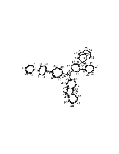 c1ccc(-c2ccc(-c3ccc(N(c4ccc5c(c4)-c4ccccc4C54C5CC6CC(C5)CC4C6)c4ccc5c(c4)sc4ccccc45)cc3)cc2)cc1